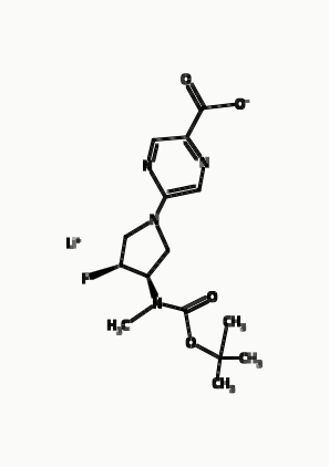 CN(C(=O)OC(C)(C)C)[C@@H]1CN(c2cnc(C(=O)[O-])cn2)C[C@@H]1F.[Li+]